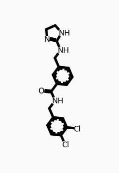 O=C(NCc1ccc(Cl)c(Cl)c1)c1cccc(CNC2=NCCN2)c1